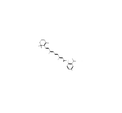 CC1=C(/C=C/C(C)=C/C=C/C(C)=C/C(=O)Nc2ccc(O)cc2C(C)C(=O)O)C(C)(C)CCC1